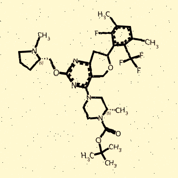 Cc1cc(C)c(C(F)(F)F)c(C2Cc3nc(OC[C@@H]4CCCN4C)nc(N4CCN(C(=O)OC(C)(C)C)[C@@H](C)C4)c3CO2)c1F